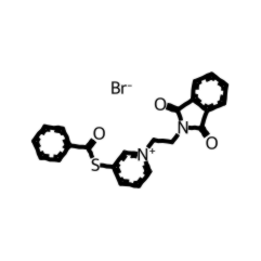 O=C(Sc1ccc[n+](CCN2C(=O)c3ccccc3C2=O)c1)c1ccccc1.[Br-]